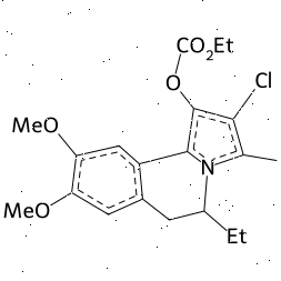 CCOC(=O)Oc1c(Cl)c(C)n2c1-c1cc(OC)c(OC)cc1CC2CC